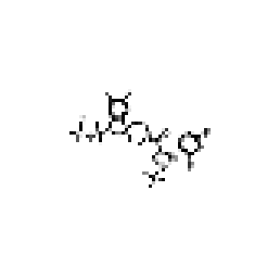 CC(=O)NC(C)(C)C1CC2(CCN(C(=O)C3CN(C(C)(C)C)C[C@H]3c3ccc(F)cc3F)CC2)c2cc(C)c(C)cc21